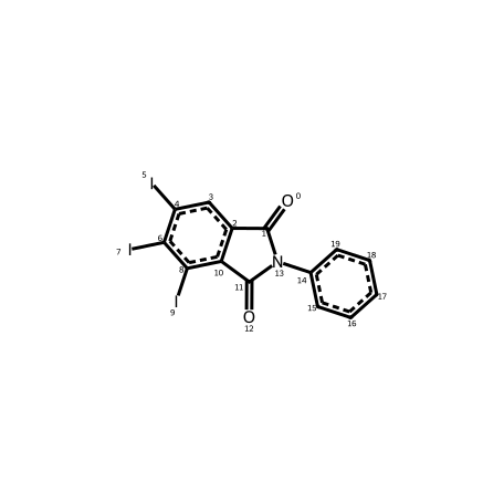 O=C1c2cc(I)c(I)c(I)c2C(=O)N1c1ccccc1